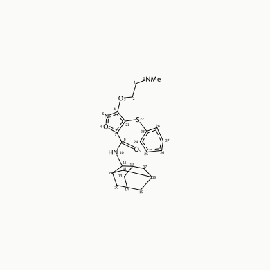 CNCCOc1noc(C(=O)NC2C3CC4CC(C3)CC2C4)c1Sc1ccccc1